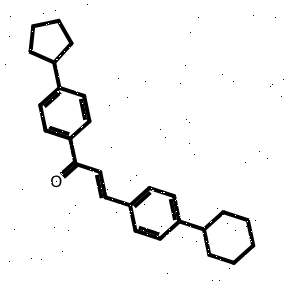 O=C(/C=C/c1ccc(C2CCCCC2)cc1)c1ccc(C2CCCC2)cc1